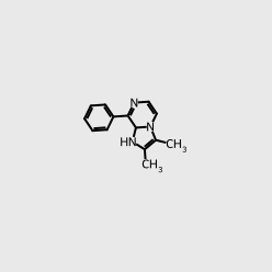 CC1=C(C)N2C=CN=C(c3ccccc3)C2N1